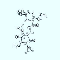 COc1ccc(OC)c(C(=O)OCC2=C(N3CC3)C(=O)C(C)=C(N3CC3)C2=O)c1